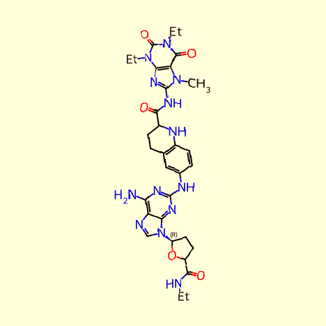 CCNC(=O)C1CC[C@H](n2cnc3c(N)nc(Nc4ccc5c(c4)CCC(C(=O)Nc4nc6c(c(=O)n(CC)c(=O)n6CC)n4C)N5)nc32)O1